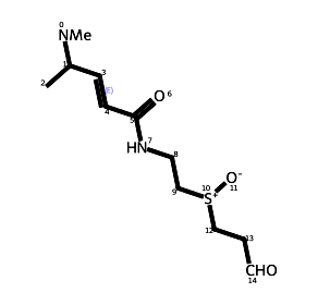 CNC(C)/C=C/C(=O)NCC[S+]([O-])CCC=O